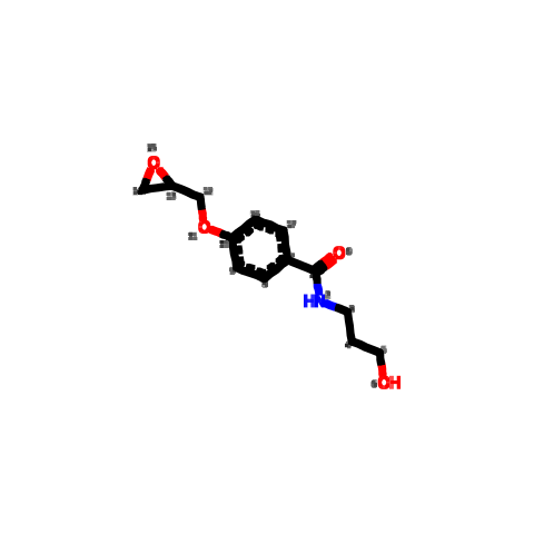 O=C(NCCCO)c1ccc(OCC2CO2)cc1